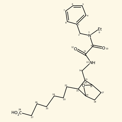 CCN(Cc1ccccc1)C(=O)C(=O)NCC1C2CCC(O2)C1CCCCCCC(=O)O